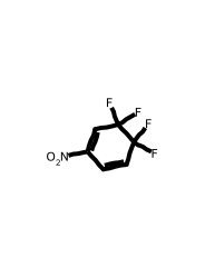 O=[N+]([O-])C1=CC(F)(F)C(F)(F)C=C1